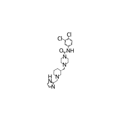 O=C(Nc1ccc(Cl)c(Cl)c1)N1CCN(C[C@@H]2CCCN(Cc3ncc[nH]3)C2)CC1